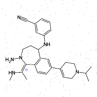 CN/C(C)=C1/c2ccc(C3=CCN(C(C)C)CC3)cc2C(Nc2cccc(C#N)c2)CCN1N